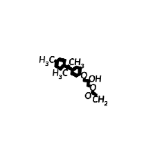 C=CC(=O)OCC(O)COc1ccc(C(C)(C)c2ccc(C)cc2)cc1